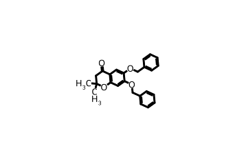 CC1(C)CC(=O)c2cc(OCc3ccccc3)c(OCc3ccccc3)cc2O1